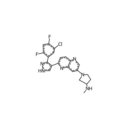 CNC1CCN(c2cnc3ccc(-c4c[nH]nc4-c4cc(Cl)c(F)cc4F)nc3c2)C1